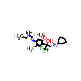 CCN(C)C=Nc1cc(OC)c(C(O)(CON=C2CCCCC2)C(F)(F)F)cc1C